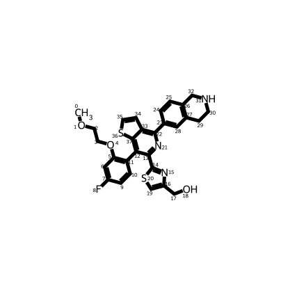 COCCOc1cc(F)ccc1-c1c(-c2nc(CO)cs2)nc(-c2ccc3c(c2)CCNC3)c2ccsc12